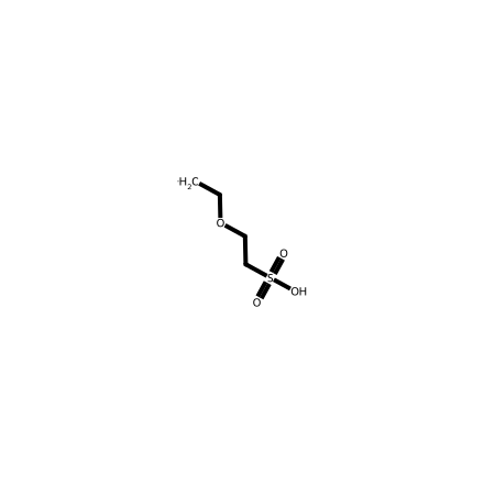 [CH2]COCCS(=O)(=O)O